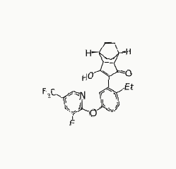 CCc1ccc(Oc2ncc(C(F)(F)F)cc2F)cc1C1=C(O)C2C(C1=O)[C@H]1CC[C@@H]2CC1